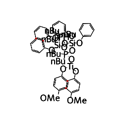 CCCC[PH](CCCC)(CCCC)O[Si](Oc1ccccc1)(Oc1ccccc1)OP(CCCC)(CCCC)(O[SiH](Oc1ccccc1)Oc1ccccc1)[O][Ti]([O]c1ccc(OC)cc1)[O]c1ccc(OC)cc1